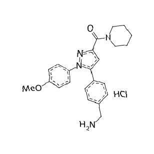 COc1ccc(-n2nc(C(=O)N3CCCCC3)cc2-c2ccc(CN)cc2)cc1.Cl